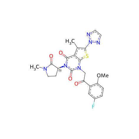 COc1ccc(F)cc1C(=O)Cn1c(=O)n([C@H]2CCN(C)C2=O)c(=O)c2c(C)c(-n3nccn3)sc21